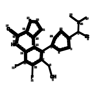 CCC(c1ccc(-c2c(CO)c(F)c(F)c3[nH]c(=O)c4sccc4c23)cc1)N(C)C